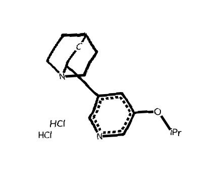 CC(C)Oc1cncc(C2CC3CCN2CC3)c1.Cl.Cl